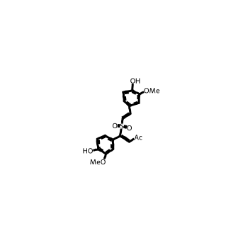 COc1cc(C=CS(=O)(=O)/C(=C\C(C)=O)c2ccc(O)c(OC)c2)ccc1O